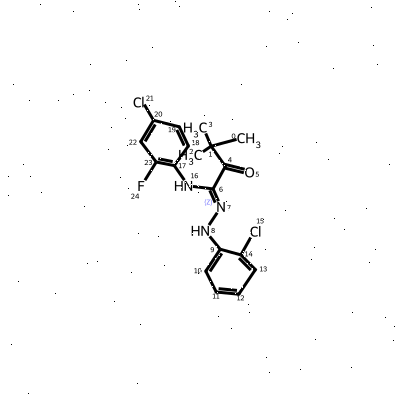 CC(C)(C)C(=O)/C(=N/Nc1ccccc1Cl)Nc1ccc(Cl)cc1F